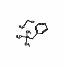 CC[O-].C[P+](C)(C)Cc1ccccc1